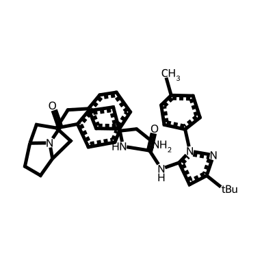 Cc1ccc(-n2nc(C(C)(C)C)cc2NC(=O)Nc2cccc(CC3CC4CCC(C3)N4C(=O)c3ccc(CN)cc3)c2)cc1